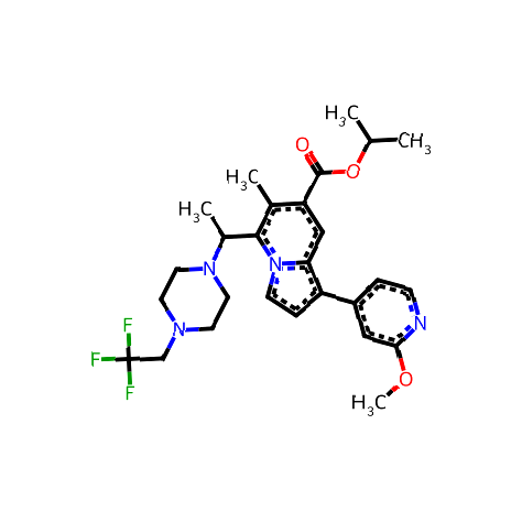 COc1cc(-c2ccn3c(C(C)N4CCN(CC(F)(F)F)CC4)c(C)c(C(=O)OC(C)C)cc23)ccn1